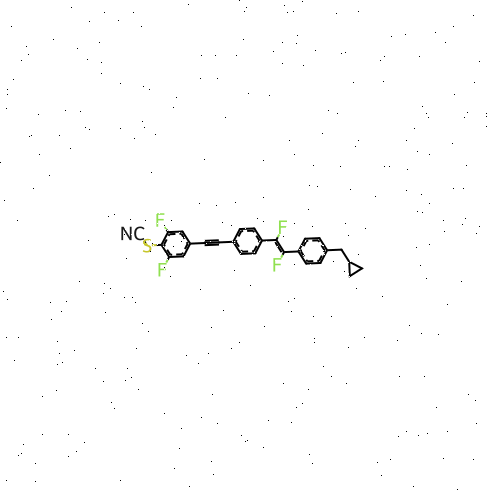 N#CSc1c(F)cc(C#Cc2ccc(/C(F)=C(\F)c3ccc(CC4CC4)cc3)cc2)cc1F